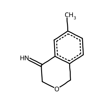 Cc1ccc2c(c1)C(=N)COC2